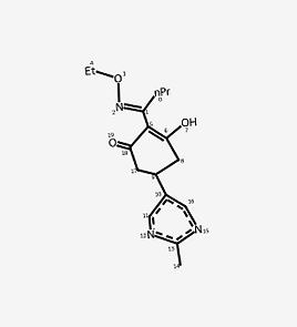 CCCC(=NOCC)C1=C(O)CC(c2cnc(C)nc2)CC1=O